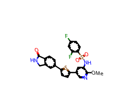 COc1ncc(-c2ccc(-c3ccc4c(c3)CNC4=O)s2)cc1NS(=O)(=O)c1ccc(F)cc1F